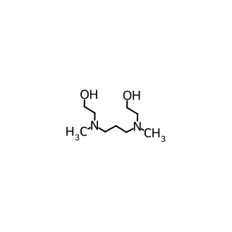 CN(CCO)CCCN(C)CCO